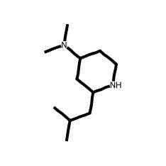 CC(C)CC1CC(N(C)C)CCN1